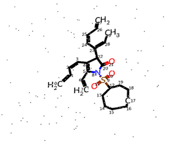 C=C/C=C\C1=C(C=C)N(S(=O)(=O)C2CCCCCCC2)C(=O)C1C(/C=C\C=C)=C/C